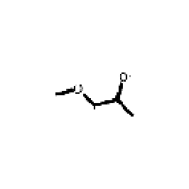 CO[CH]C(C)[O]